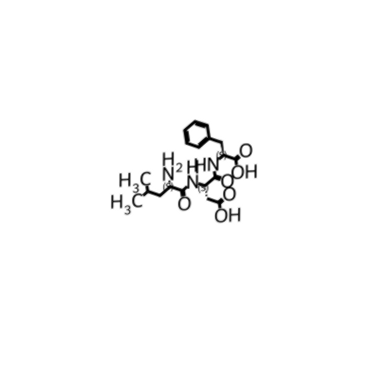 CC(C)C[C@H](N)C(=O)N[C@@H](CC(=O)O)C(=O)N[C@@H](Cc1ccccc1)C(=O)O